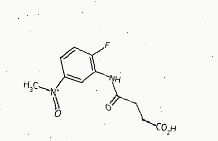 C[N+](=O)c1ccc(F)c(NC(=O)CCC(=O)O)c1